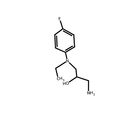 CCN(CC(O)CN)c1ccc(F)cc1